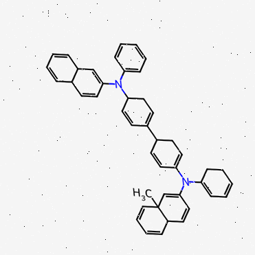 CC12C=CC=CC1C=CC(N(C1=CCC(C3=CCC(N(C4=CC5C=CC=CC5C=C4)c4ccccc4)C=C3)C=C1)C1=CC=CCC1)=C2